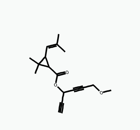 C#CC(C#CCOC)OC(=O)C1C(C=C(C)C)C1(C)C